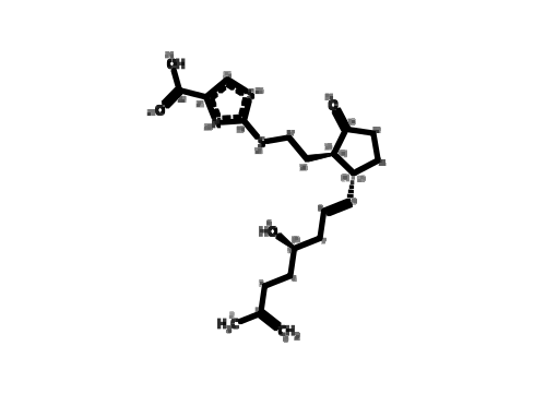 C=C(C)CC[C@@H](O)CC=C[C@H]1CCC(=O)[C@@H]1CCSc1nc(C(=O)O)cs1